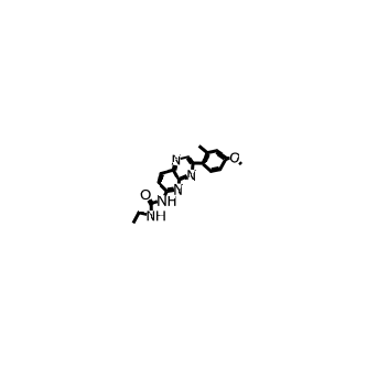 CCNC(=O)Nc1ccc2ncc(-c3ccc(OC)cc3C)nc2n1